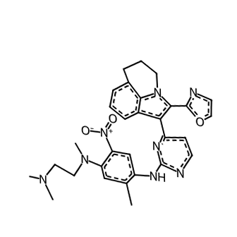 Cc1cc(N(C)CCN(C)C)c([N+](=O)[O-])cc1Nc1nccc(-c2c(-c3ncco3)n3c4c(cccc24)CCC3)n1